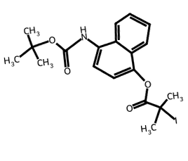 CC(C)(C)OC(=O)Nc1ccc(OC(=O)C(C)(C)I)c2ccccc12